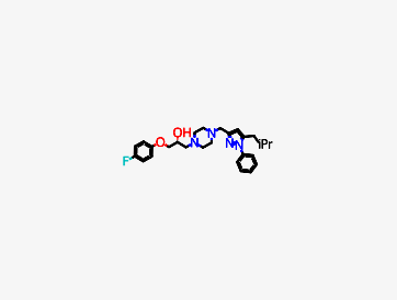 CC(C)Cc1cc(CN2CCN(C[C@@H](O)COc3ccc(F)cc3)CC2)nn1-c1ccccc1